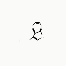 CCOC(=O)c1c[nH]c2nccnc12